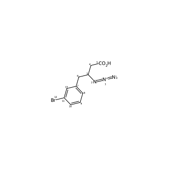 [N-]=[N+]=NC(CC(=O)O)Cc1cccc(Br)c1